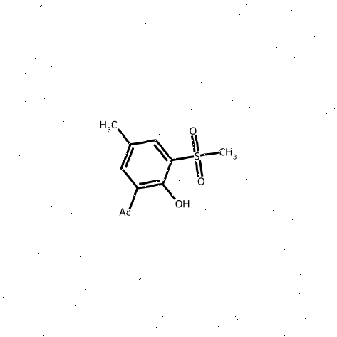 CC(=O)c1cc(C)cc(S(C)(=O)=O)c1O